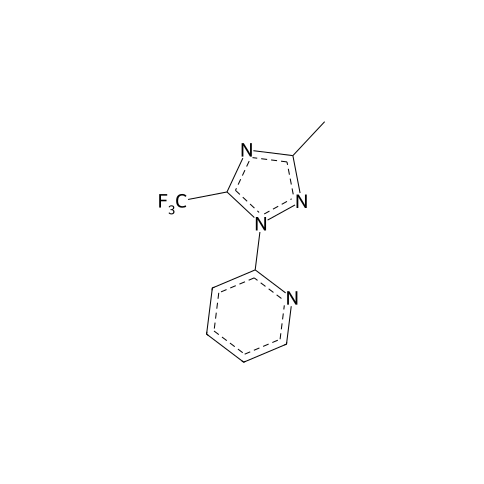 Cc1nc(C(F)(F)F)n(-c2ccccn2)n1